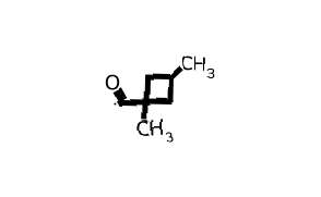 CC1CC(C)([C]=O)C1